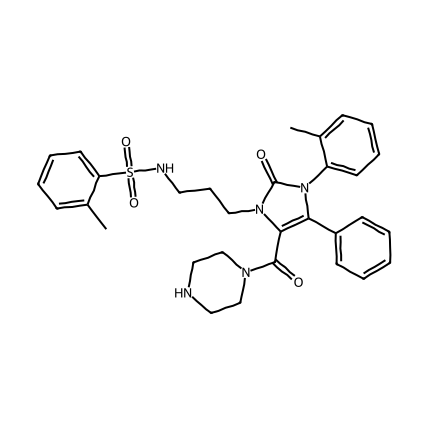 Cc1ccccc1-n1c(-c2ccccc2)c(C(=O)N2CCNCC2)n(CCCNS(=O)(=O)c2ccccc2C)c1=O